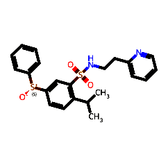 CC(C)c1ccc([S@+]([O-])c2ccccc2)cc1S(=O)(=O)NCCc1ccccn1